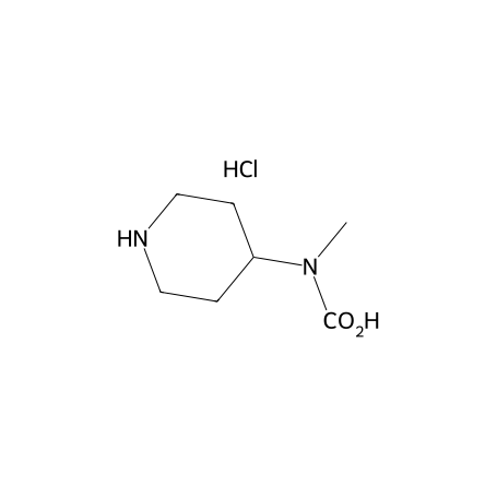 CN(C(=O)O)C1CCNCC1.Cl